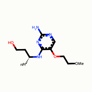 CCC[C@H](CCO)Nc1nc(N)ncc1OCCOC